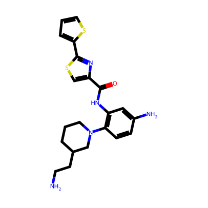 NCCC1CCCN(c2ccc(N)cc2NC(=O)c2csc(-c3cccs3)n2)C1